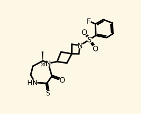 C[C@@H]1CCNC(=S)C(=O)N1C1CC2(C1)CN(S(=O)(=O)c1ccccc1F)C2